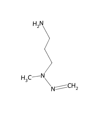 C=NN(C)CCCN